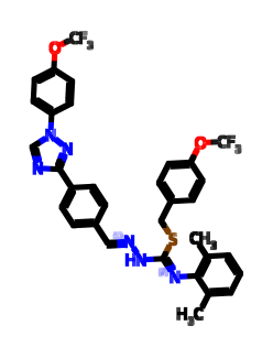 Cc1cccc(C)c1/N=C(/N/N=C/c1ccc(-c2ncn(-c3ccc(OC(F)(F)F)cc3)n2)cc1)SCc1ccc(OC(F)(F)F)cc1